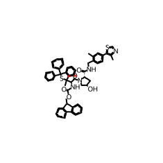 Cc1cc(-c2scnc2C)ccc1CNC(=O)[C@@H]1C[C@@H](O)CN1C(=O)[C@@H](NC(=O)OCC1c2ccccc2-c2ccccc21)C(C)(C)SC(c1ccccc1)(c1ccccc1)c1ccccc1